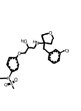 CN(c1ccc(OCC(O)CNC2(Cc3cccc(Cl)c3)CCOC2)cc1)S(C)(=O)=O